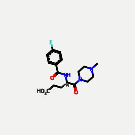 CN1CCN(C(=O)[C@H](CCC(=O)O)NC(=O)c2ccc(F)cc2)CC1